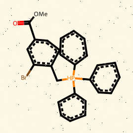 COC(=O)c1ccc(C[PH](c2ccccc2)(c2ccccc2)c2ccccc2)c(Br)c1